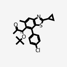 CC(=O)[C@@H](OC(C)(C)C)c1c(C)cc2nc(C3CC3)sc2c1-c1ccc(Cl)cc1